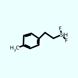 Cc1ccc(CC[SiH](F)F)cc1